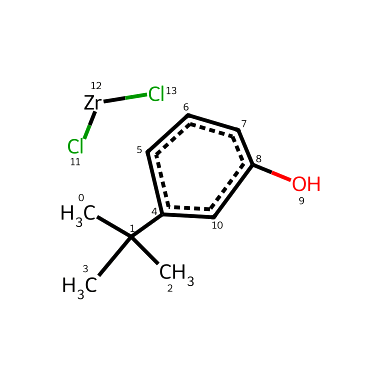 CC(C)(C)c1cccc(O)c1.[Cl][Zr][Cl]